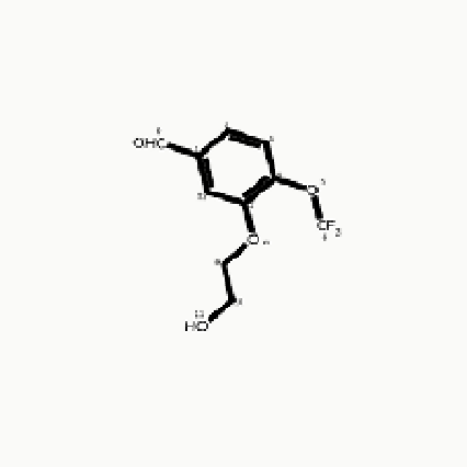 O=Cc1ccc(OC(F)(F)F)c(OCCO)c1